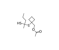 CCCC(C)(S)SC1(COC(C)=O)CCC1